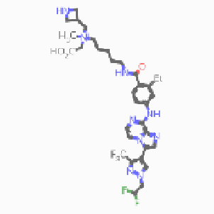 CCc1cc(Nc2nccn3c(-c4cn(CC(F)F)nc4C(F)(F)F)cnc23)ccc1C(=O)NCCCCC[N+](C)(CC(=O)O)CC1CNC1